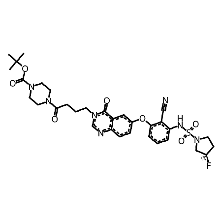 CC(C)(C)OC(=O)N1CCN(C(=O)CCCn2cnc3ccc(Oc4cccc(NS(=O)(=O)N5CC[C@@H](F)C5)c4C#N)cc3c2=O)CC1